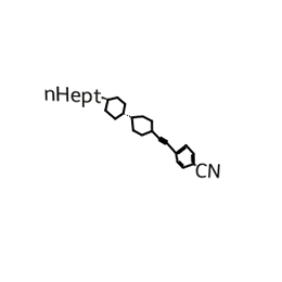 CCCCCCC[C@H]1CC[C@H](C2CCC(C#Cc3ccc(C#N)cc3)CC2)CC1